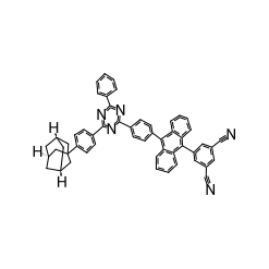 N#Cc1cc(C#N)cc(-c2c3ccccc3c(-c3ccc(-c4nc(-c5ccccc5)nc(-c5ccc(C67C[C@H]8C[C@@H](C6)C[C@@H](C7)C8)cc5)n4)cc3)c3ccccc23)c1